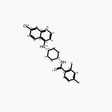 Cc1ccc(C(=O)N[C@H]2CC[C@@H](Nc3ccnc4cc(Cl)ccc34)CC2)c(C)c1